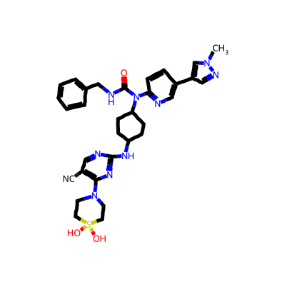 Cn1cc(-c2ccc(N(C(=O)NCc3ccccc3)C3CCC(Nc4ncc(C#N)c(N5CCS(O)(O)CC5)n4)CC3)nc2)cn1